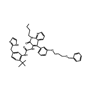 CCCCn1c(=O)c(NC(=O)Nc2cc(Cc3ncc[nH]3)ccc2C(C)(C)C)c(-c2cccc(OCCCOCc3ccccc3)c2)c2cccnc21